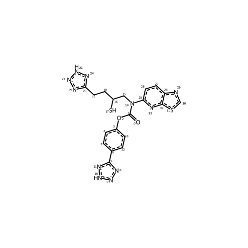 O=C(Oc1ccc(-c2nn[nH]n2)cc1)N(CC(S)CCc1nn[nH]n1)c1ccc2ncsc2n1